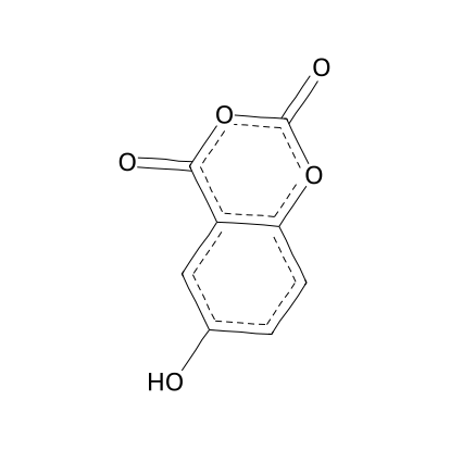 O=c1oc(=O)c2cc(O)ccc2o1